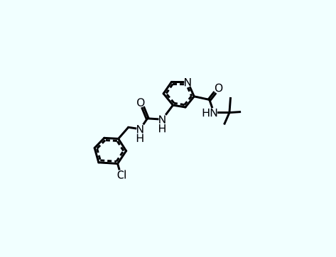 CC(C)(C)NC(=O)c1cc(NC(=O)NCc2cccc(Cl)c2)ccn1